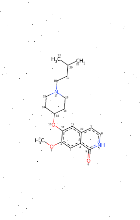 COc1cc2c(=O)[nH]ccc2cc1OC1CCN(CCC(C)C)CC1